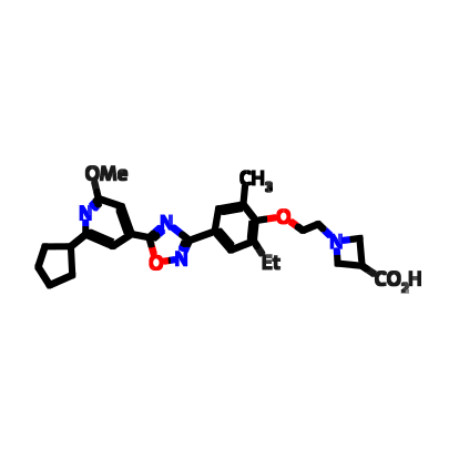 CCc1cc(-c2noc(-c3cc(OC)nc(C4CCCC4)c3)n2)cc(C)c1OCCN1CC(C(=O)O)C1